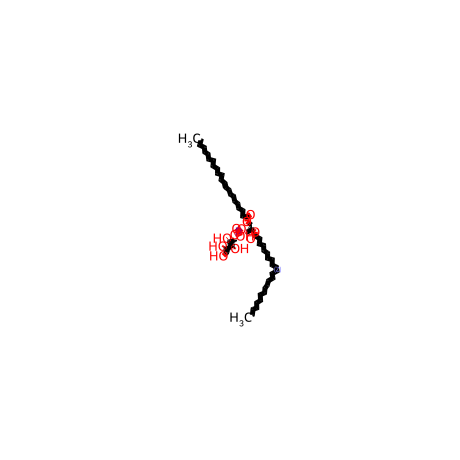 CCCCCCCCCCCCCC=CCCCCCCCCC(=O)OC[C@H](COP(=O)(O)OC[C@@H](O)[C@@H](O)[C@H](O)CO)OC(=O)CCCCCCCC/C=C\CCCCCCCCCCCCC